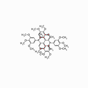 COc1cc(P(c2cc(OC)c(OC)c(OC)c2)c2cccc(OC)c2-c2c(OC)cccc2P(c2cc(OC)c(OC)c(OC)c2)c2cc(OC)c(OC)c(OC)c2)cc(OC)c1OC